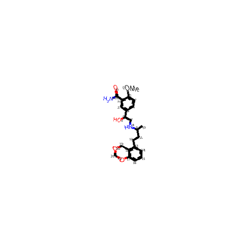 COc1ccc(C(O)CNC(C)CCc2cccc3c2COCO3)cc1C(N)=O